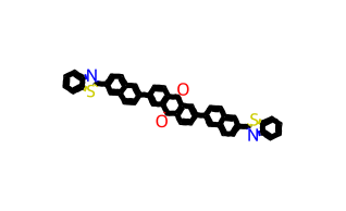 O=C1c2ccc(-c3ccc4cc(-c5nc6ccccc6s5)ccc4c3)cc2C(=O)c2ccc(-c3ccc4cc(-c5nc6ccccc6s5)ccc4c3)cc21